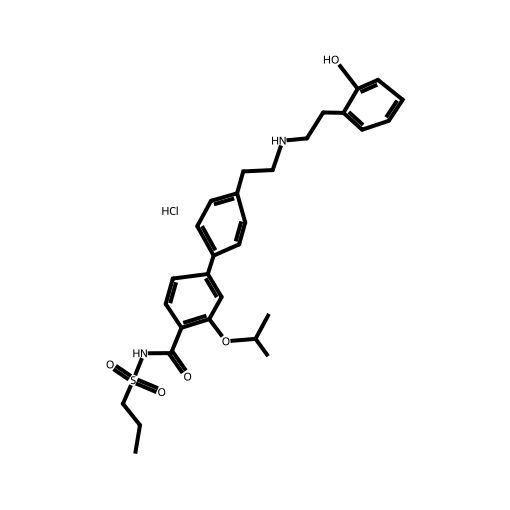 CCCS(=O)(=O)NC(=O)c1ccc(-c2ccc(CCNCCc3ccccc3O)cc2)cc1OC(C)C.Cl